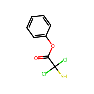 O=C(Oc1ccccc1)C(S)(Cl)Cl